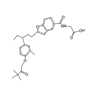 CCC(CCc1cc2cc(C(=O)NCC(=O)O)ccc2o1)c1ccc(OCC(=O)C(C)(C)C)c(C)c1